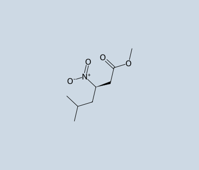 COC(=O)C[C@@H](CC(C)C)[N+](=O)[O-]